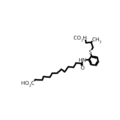 CC(CSc1ccccc1NC(=O)CCCCCCCCCCCC(=O)O)CC(=O)O